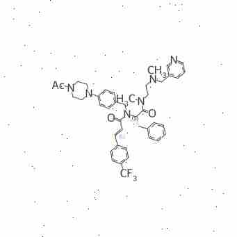 CC(=O)N1CCN(c2ccc(CN(C(=O)/C=C/c3ccc(C(F)(F)F)cc3)[C@@H](Cc3ccccc3)C(=O)N(C)CCN(C)Cc3cccnc3)cc2)CC1